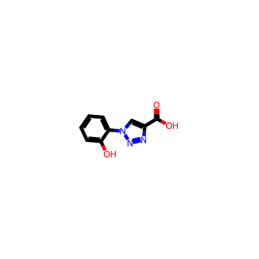 O=C(O)c1cn(-c2ccccc2O)nn1